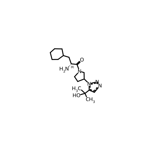 CC(C)(O)c1cnnn1C1CCN(C(=O)[C@H](N)CC2CCCCC2)C1